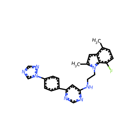 Cc1ccc(F)c2c1cc(C)n2CCNc1cc(-c2ccc(-n3cncn3)cc2)ncn1